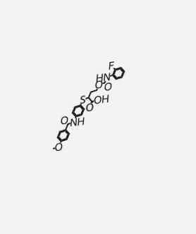 COc1ccc(C(=O)Nc2ccc(SC(CCOC(=O)Nc3ccccc3F)C(=O)O)cc2)cc1